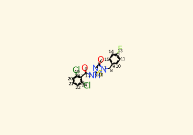 O=C(Nc1nc(=O)n(Cc2ccc(F)cc2)s1)c1c(Cl)cccc1Cl